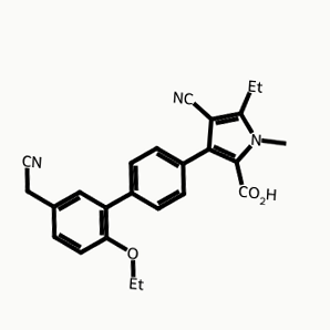 CCOc1ccc(CC#N)cc1-c1ccc(-c2c(C#N)c(CC)n(C)c2C(=O)O)cc1